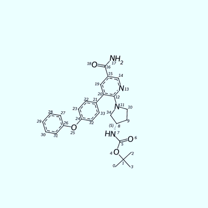 CC(C)(C)OC(=O)N[C@H]1CCN(c2ncc(C(N)=O)cc2-c2ccc(Oc3ccccc3)cc2)C1